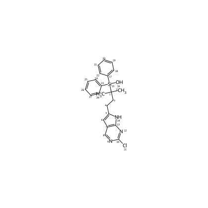 CC(C)(CCc1cc2cnc(Cl)nc2[nH]1)[Si](O)(c1ccccc1)c1ccccc1